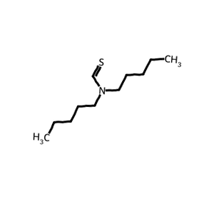 CCCCCN(C=S)CCCCC